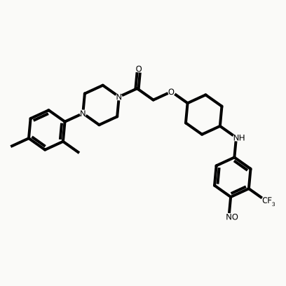 Cc1ccc(N2CCN(C(=O)COC3CCC(Nc4ccc(N=O)c(C(F)(F)F)c4)CC3)CC2)c(C)c1